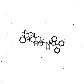 C[C@]12CCC(=O)C(C3=CC=CC=CN3)[C@@H]1CC[C@@H]1[C@@H]2CC[C@]2(C)C(CNC(=O)CC(c3ccccc3)(c3ccccc3)c3ccccc3)CC[C@@H]12